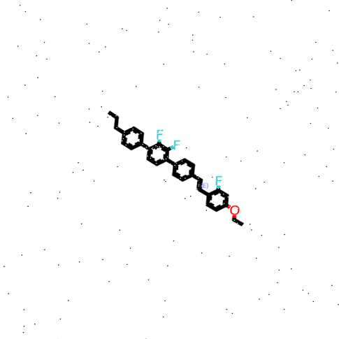 CCCc1ccc(-c2ccc(-c3ccc(/C=C/c4ccc(OCC)cc4F)cc3)c(F)c2F)cc1